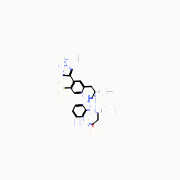 C[C@@H]1Cc2cc(-c3cnn(C)c3)c(C(F)F)cc2N(c2cccc3c2N[C@H](C)CC(=O)N3)C1